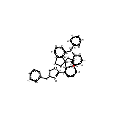 c1ccc(CC2COC(c3cccc4c3C3(CC4)CCc4cccc(P(c5ccccc5)c5ccccc5)c43)=N2)cc1